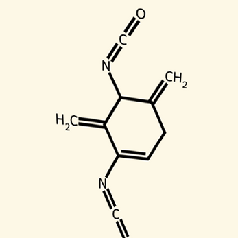 C=C1CC=C(N=C=O)C(=C)C1N=C=O